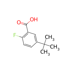 CC(C)(C)c1ccc(F)c(C(=O)O)c1